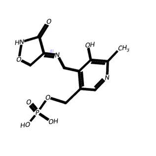 Cc1ncc(COP(=O)(O)O)c(C/N=C2\CONC2=O)c1O